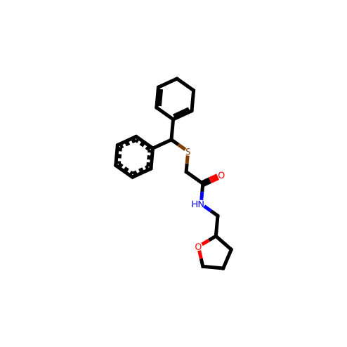 O=C(CSC(C1=CCCC=C1)c1ccccc1)NCC1CCCO1